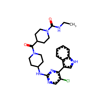 CCNC(=O)N1CCC(C(=O)N2CCC(Nc3ncc(Cl)c(-c4c[nH]c5ccccc45)n3)CC2)CC1